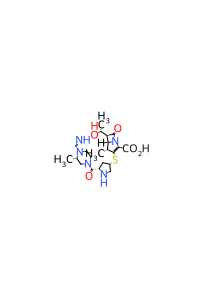 C[C@@H](O)[C@H]1C(=O)N2C(C(=O)O)=C(S[C@@H]3CN[C@H](C(=O)N4CCN(C=N)[C@@H](C)C4)C3)[C@H](C)[C@H]12